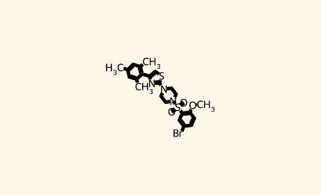 COc1ccc(Br)cc1S(=O)(=O)N1CCN(c2nc(-c3c(C)cc(C)cc3C)cs2)CC1